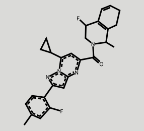 Cc1ccc(-c2cc3nc(C(=O)N4CC(F)C5=C(CCC=C5)C4C)cc(C4CC4)n3n2)c(F)c1